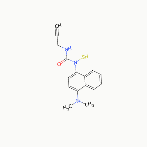 C#CCNC(=O)N(S)c1ccc(N(C)C)c2ccccc12